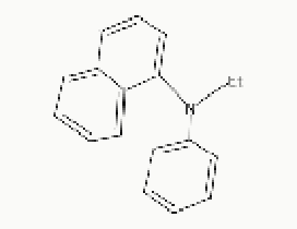 CCN(c1ccccc1)c1cc[c]c2ccccc12